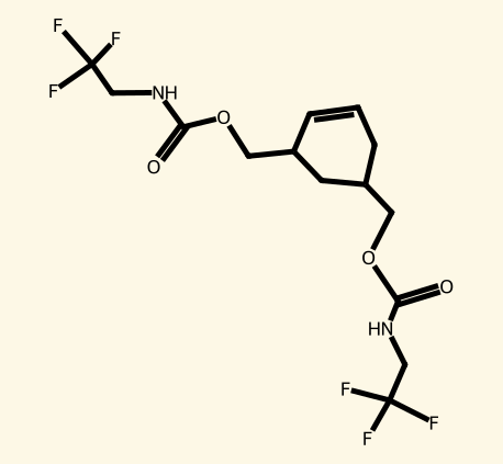 O=C(NCC(F)(F)F)OCC1C=CCC(COC(=O)NCC(F)(F)F)C1